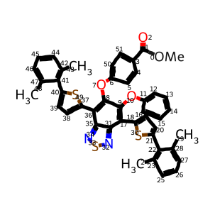 COC(=O)c1ccc(Oc2c(Oc3ccccc3)c(-c3ccc(-c4c(C)cccc4C)s3)c3nsnc3c2-c2ccc(-c3c(C)cccc3C)s2)cc1